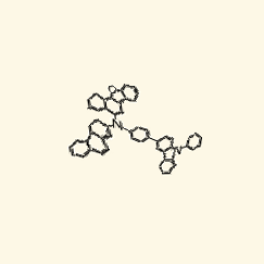 c1ccc(-n2c3ccccc3c3cc(-c4ccc(N(c5ccc6c(ccc7ccccc76)c5)c5cc6c7ccccc7oc6c6ccccc56)cc4)ccc32)cc1